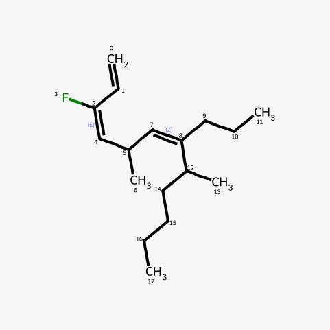 C=C/C(F)=C\C(C)/C=C(/CCC)C(C)CCCC